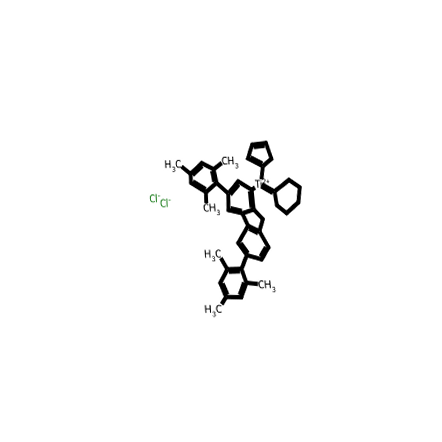 Cc1cc(C)c(-c2ccc3c(c2)-c2cc(-c4c(C)cc(C)cc4C)c[c]([Ti+2]([C]4=CC=CC4)=[C]4CCCCC4)c2C3)c(C)c1.[Cl-].[Cl-]